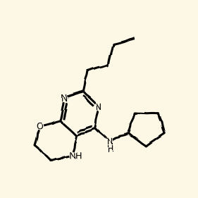 CCCCc1nc(NC2CCCC2)c2c(n1)OCCN2